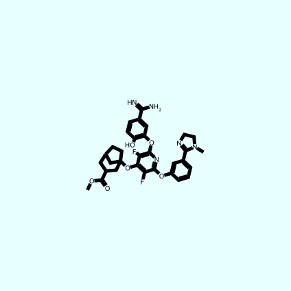 COC(=O)C1CC2CCC(Oc3c(F)c(Oc4cccc(C5=NCCN5C)c4)nc(Oc4cc(C(=N)N)ccc4O)c3F)(C2)C1